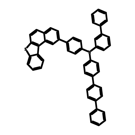 c1ccc(-c2ccc(-c3ccc(N(c4ccc(-c5ccc6ccc7sc8ccccc8c7c6c5)cc4)c4cccc(-c5ccccc5)c4)cc3)cc2)cc1